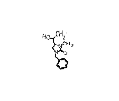 [CH2]C(O)C1CN(Cc2ccccc2)C(=O)N1C